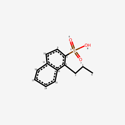 CCCc1c(S(=O)(=O)O)ccc2ccccc12